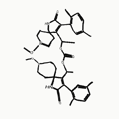 CON1CCC2(CC1)NC(=O)C(c1cc(C)ccc1C)=C2C(C)OC(=O)OC(C)C1=C(c2cc(C)ccc2C)C(=O)NC12CCN(OC)CC2